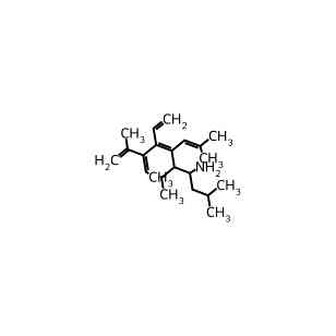 C=CC(/C(=C\C)C(=C)C)=C(\C=C(C)C)C(CC)C(N)CC(C)C